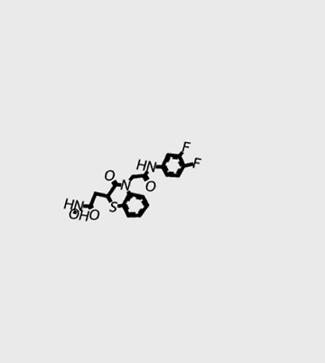 O=C(CC1Sc2ccccc2N(CC(=O)Nc2ccc(F)c(F)c2)C1=O)NO